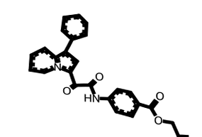 CCCOC(=O)c1ccc(NC(=O)C(=O)c2cc(-c3ccccc3)c3ccccn23)cc1